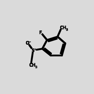 Cc1cccc([S+](C)[O-])c1F